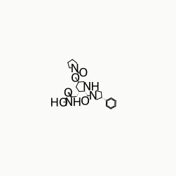 O=C(C[C@@H]1C[C@@H](OC(=O)N2CCCC2)CN[C@@H]1C(=O)N1CC[C@H](c2ccccc2)C1)NO